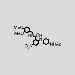 COc1ccc(CNC(=O)c2cc([N+](=O)[O-])ccc2N[C@H]2CC[C@H](NC(C)=O)CC2)cc1OC